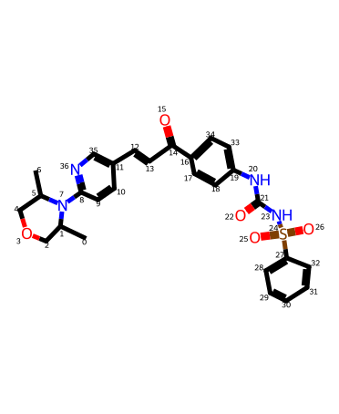 CC1COCC(C)N1c1ccc(C=CC(=O)c2ccc(NC(=O)NS(=O)(=O)c3ccccc3)cc2)cn1